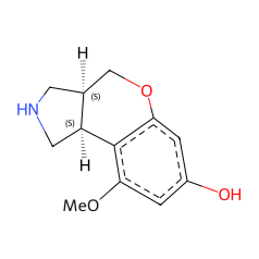 COc1cc(O)cc2c1[C@H]1CNC[C@H]1CO2